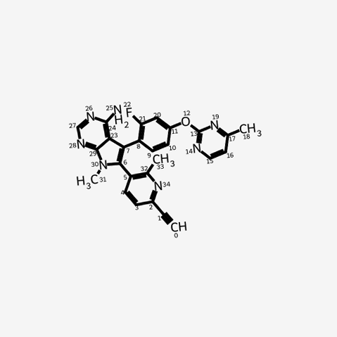 C#Cc1ccc(-c2c(-c3ccc(Oc4nccc(C)n4)cc3F)c3c(N)ncnc3n2C)c(C)n1